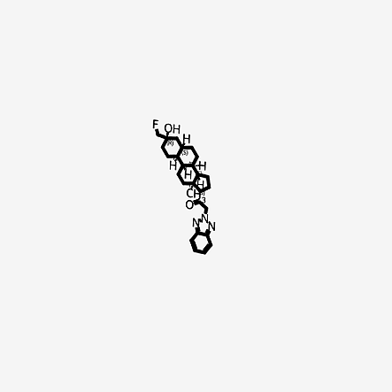 C[C@]12CC[C@H]3[C@@H](CC[C@H]4C[C@@](O)(CF)CC[C@@H]43)[C@@H]1CC[C@@H]2C(=O)Cn1nc2ccccc2n1